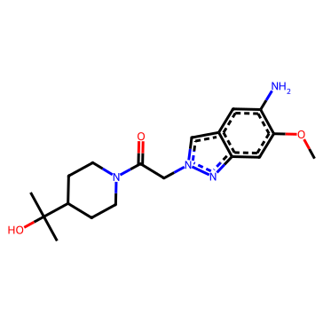 COc1cc2nn(CC(=O)N3CCC(C(C)(C)O)CC3)cc2cc1N